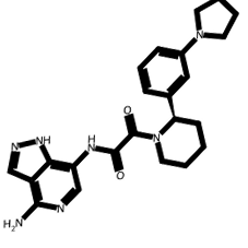 Nc1ncc(NC(=O)C(=O)N2CCCC[C@@H]2c2cccc(N3CCCC3)c2)c2[nH]ncc12